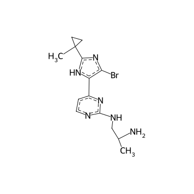 CC(N)CNc1nccc(-c2[nH]c(C3(C)CC3)nc2Br)n1